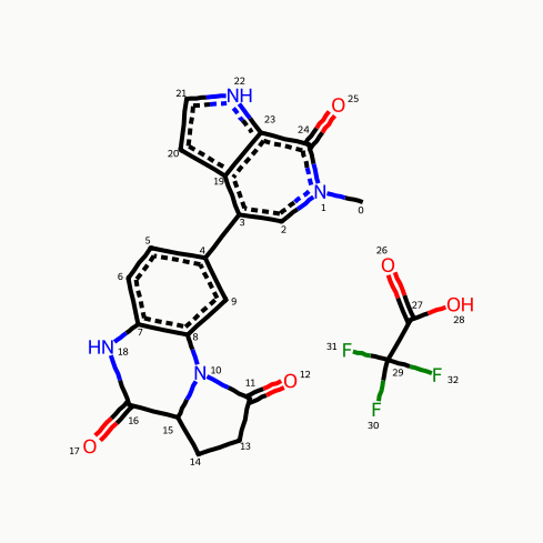 Cn1cc(-c2ccc3c(c2)N2C(=O)CCC2C(=O)N3)c2cc[nH]c2c1=O.O=C(O)C(F)(F)F